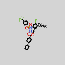 COc1cc(C#COC(=O)c2ccc(-c3ccccc3)cc2)c(NS(=O)(=O)c2ccc(C(F)F)cc2)cc1F